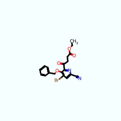 CCOC(=O)CCC(=O)c1nc(C#N)cc(Br)c1OCc1ccccc1